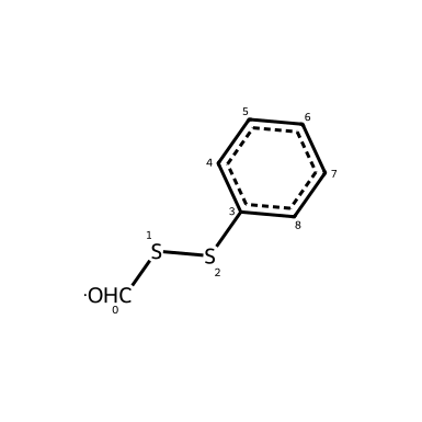 O=[C]SSc1ccccc1